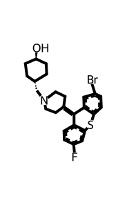 O[C@H]1CC[C@H](CN2CCC(=C3c4ccc(F)cc4Sc4ccc(Br)cc43)CC2)CC1